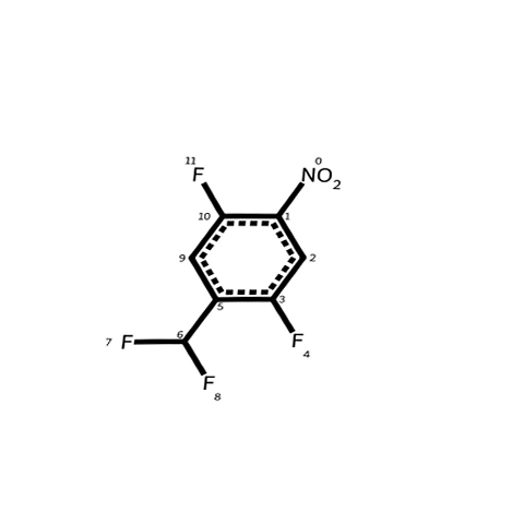 O=[N+]([O-])c1cc(F)c(C(F)F)cc1F